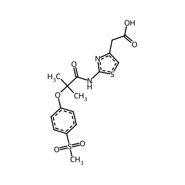 CC(C)(Oc1ccc(S(C)(=O)=O)cc1)C(=O)Nc1nc(CC(=O)O)cs1